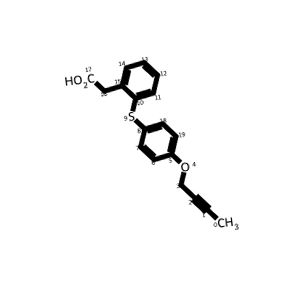 CC#CCOc1ccc(Sc2ccccc2CC(=O)O)cc1